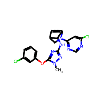 Cn1nc(NC2C3=CC2CN3c2cc(Cl)ncn2)nc1Oc1cccc(Cl)c1